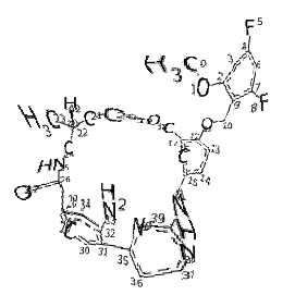 COc1cc(F)cc(F)c1COc1ccc2cc1COCC[C@@H](C)CNC(=O)c1ccc(c(N)c1)-c1ccnc(n1)N2